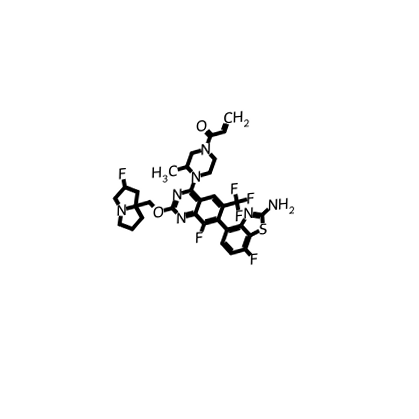 C=CC(=O)N1CCN(c2nc(OCC34CCCN3CC(F)C4)nc3c(F)c(-c4ccc(F)c5sc(N)nc45)c(C(F)(F)F)cc23)C(C)C1